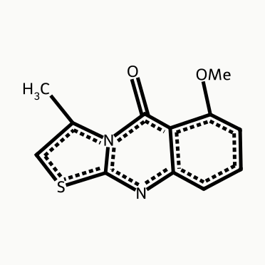 COc1cccc2nc3scc(C)n3c(=O)c12